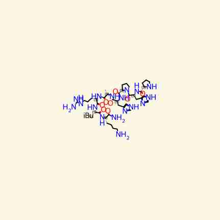 CC[C@H](C)[C@H](NC(=O)[C@H](CCCNC(=N)N)NC(=O)[C@H](C)NC(=O)[C@H](Cc1c[nH]cn1)NC(=O)[C@@H]1CCCN1C(=O)[C@H](Cc1c[nH]cn1)NC(=O)[C@@H]1CCCN1)C(=O)N[C@@H](CCCCN)C(N)=O